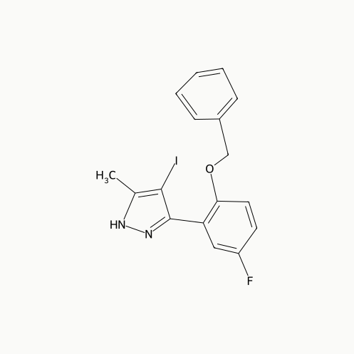 Cc1[nH]nc(-c2cc(F)ccc2OCc2ccccc2)c1I